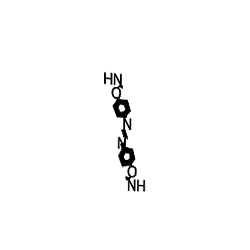 N=COc1ccc(N=CC=Nc2ccc(OC=N)cc2)cc1